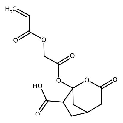 C=CC(=O)OCC(=O)OC12CC(CC(=O)O1)CC2C(=O)O